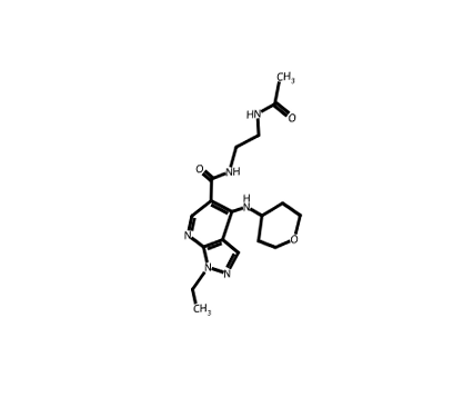 CCn1ncc2c(NC3CCOCC3)c(C(=O)NCCNC(C)=O)cnc21